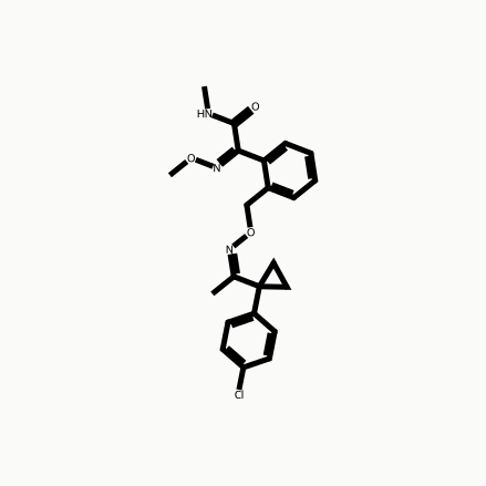 CNC(=O)C(=NOC)c1ccccc1CON=C(C)C1(c2ccc(Cl)cc2)CC1